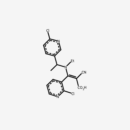 CCN(C(=C(C#N)C(=O)O)c1cccnc1Cl)C(C)c1ccc(Cl)nc1